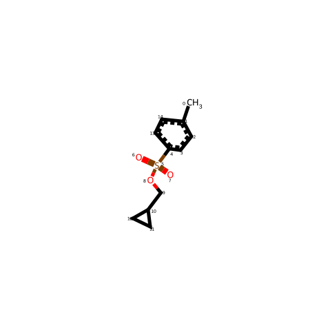 Cc1ccc(S(=O)(=O)OCC2CC2)cc1